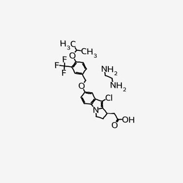 CC(C)Oc1ccc(COc2ccc3c(c2)c(Cl)c2n3CC[C@@H]2CC(=O)O)cc1C(F)(F)F.NCCN